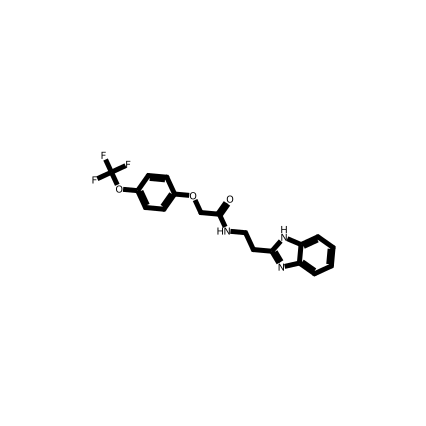 O=C(COc1ccc(OC(F)(F)F)cc1)NCCc1nc2ccccc2[nH]1